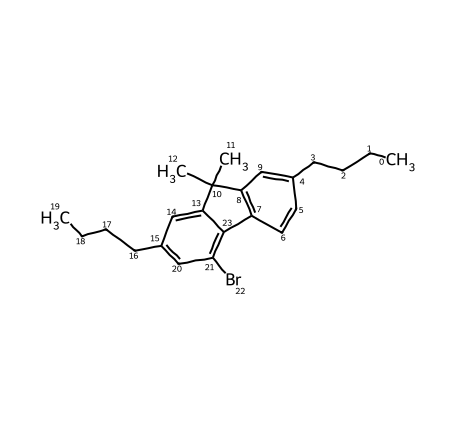 CCCCc1ccc2c(c1)C(C)(C)c1cc(CCCC)cc(Br)c1-2